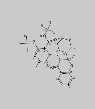 COC(=O)C(CC1C(=O)c2ccncc2OC1(C)C1CCCCC1)N(C(=O)OC(C)(C)C)C(=O)OC(C)(C)C